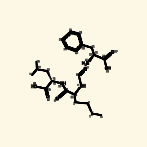 CSCC[C@H](NC=O)C(=O)N[C@@H](CC(C)C)C(=O)O.N[C@@H](Cc1ccccc1)C(=O)O